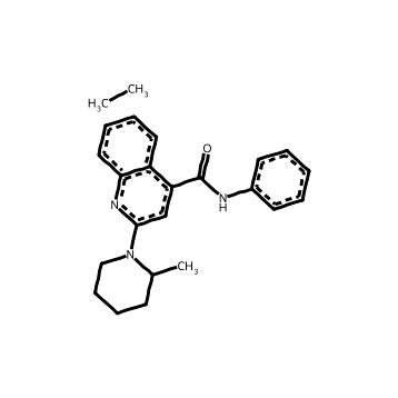 CC.CC1CCCCN1c1cc(C(=O)Nc2ccccc2)c2ccccc2n1